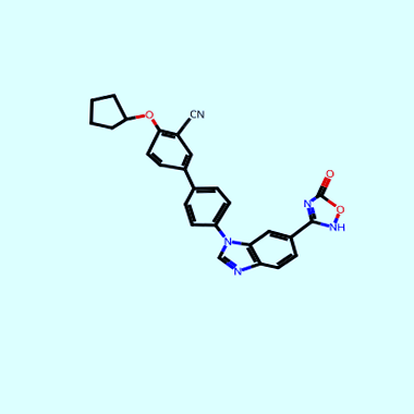 N#Cc1cc(-c2ccc(-n3cnc4ccc(-c5nc(=O)o[nH]5)cc43)cc2)ccc1OC1CCCC1